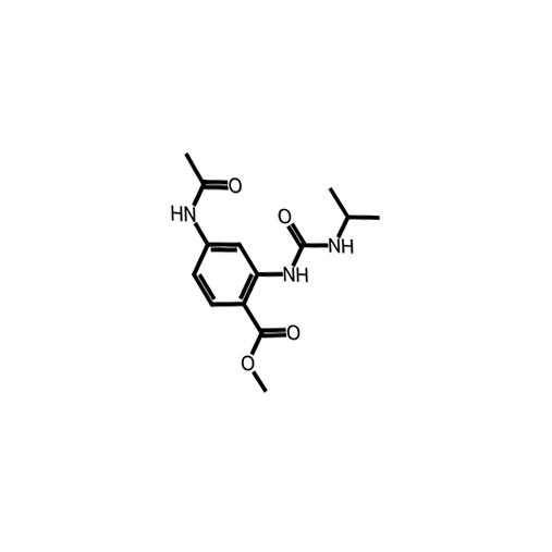 COC(=O)c1ccc(NC(C)=O)cc1NC(=O)NC(C)C